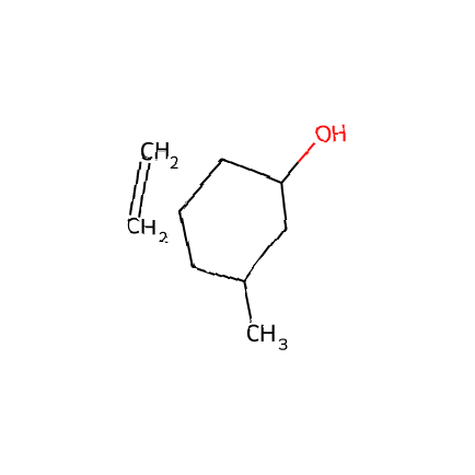 C=C.CC1CCCC(O)C1